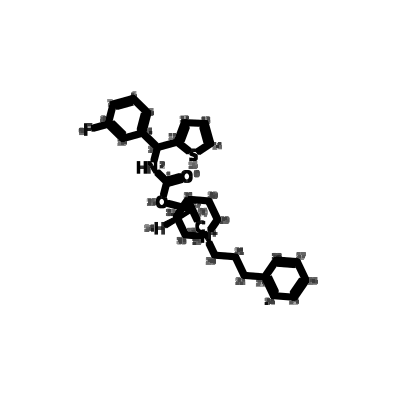 O=C(NC(c1cccc(F)c1)c1cccs1)O[C@H]1C[N+]2(CCCc3ccccc3)CCC1CC2